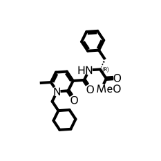 COC(=O)[C@@H](Cc1ccccc1)NC(=O)c1ccc(C)n(CC2CCCCC2)c1=O